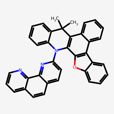 CC1(C)c2ccccc2N(c2ccc3ccc4cccnc4c3n2)c2c1c1ccccc1c1c2oc2ccccc21